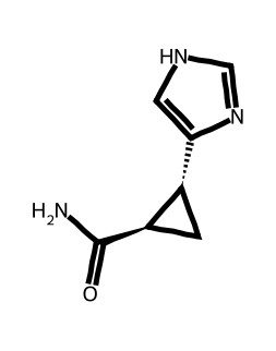 NC(=O)[C@@H]1C[C@H]1c1c[nH]cn1